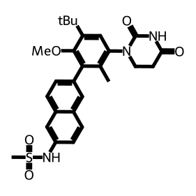 COc1c(C(C)(C)C)cc(N2CCC(=O)NC2=O)c(C)c1-c1ccc2cc(NS(C)(=O)=O)ccc2c1